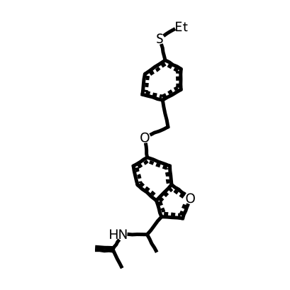 C=C(C)NC(C)c1coc2cc(OCc3ccc(SCC)cc3)ccc12